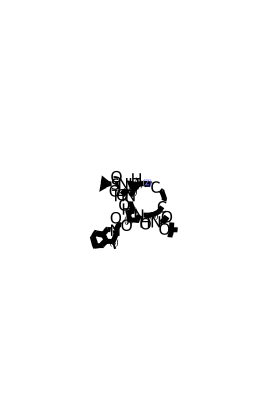 C[C@@H]1CN(C(=O)O[C@@H]2C[C@H]3C(=O)N[C@]4(C(=O)NS(=O)(=O)C5CC5)C[C@H]4/C=C\CCCCC[C@H](NC(=O)OC(C)(C)C)C(=O)N3C2)Cc2ccccc21